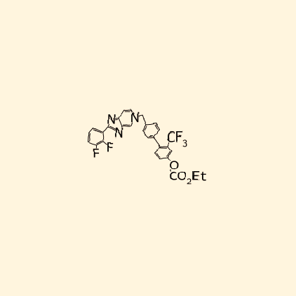 CCOC(=O)COc1ccc(-c2ccc(Cn3ccc4nc(-c5cccc(F)c5F)nc-4c3)cc2)c(C(F)(F)F)c1